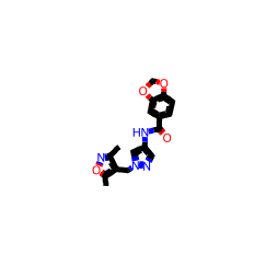 Cc1noc(C)c1Cn1cc(NC(=O)c2ccc3c(c2)OCO3)cn1